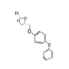 CC[C@H]1OC[C@@H](COc2ccc(Oc3ccccc3)cc2)O1